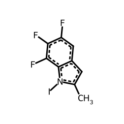 Cc1cc2cc(F)c(F)c(F)c2n1I